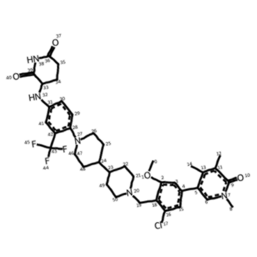 COc1cc(-c2cn(C)c(=O)c(C)c2C)cc(Cl)c1CN1CCC(C2CCN(c3ccc(NC4CCC(=O)NC4=O)cc3C(F)(F)F)CC2)CC1